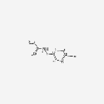 [CH]=CC(=O)NCc1ccc(F)cc1